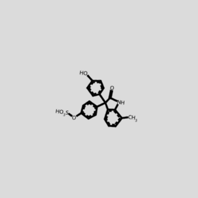 Cc1cccc2c1NC(=O)C2(c1ccc(O)cc1)c1ccc(OS(=O)(=O)O)cc1